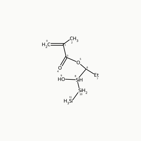 C=C(C)C(=O)OC(CC)[SiH](O)[SiH2][SiH3]